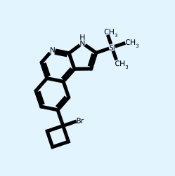 C[Si](C)(C)c1cc2c(ncc3ccc(C4(Br)CCC4)cc32)[nH]1